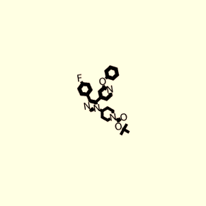 CC(C)(C)OC(=O)N1CCC(n2cnc(-c3ccc(F)cc3)c2-c2ccnc(Oc3ccccc3)c2)CC1